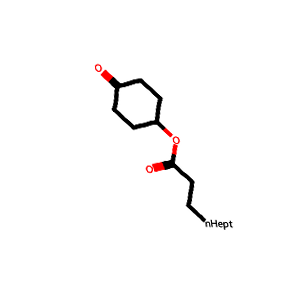 CCCCCCCCCC(=O)OC1CCC(=O)CC1